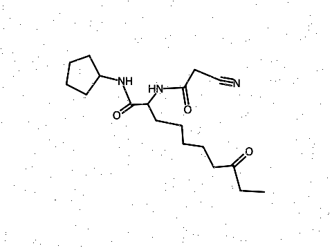 CCC(=O)CCCCCC(NC(=O)CC#N)C(=O)NC1CCCC1